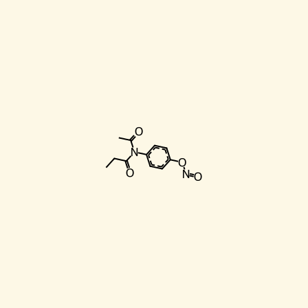 CCC(=O)N(C(C)=O)c1ccc(ON=O)cc1